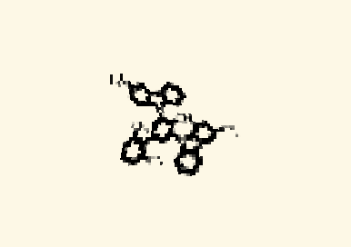 N#Cc1cccc(C(F)(F)F)c1-c1cc(-n2c3ccccc3c3cc(C(F)(F)F)ccc32)c(C#N)c(-n2c3ccccc3c3cc(C(F)(F)F)ccc32)c1